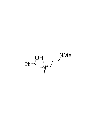 CCC(O)C[N+](C)(C)CCCNC